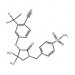 CC1(C)CN(Cc2ccc(S(C)(=O)=O)cc2)C(=O)C1Oc1ccc(C#N)c(C(F)(F)F)c1